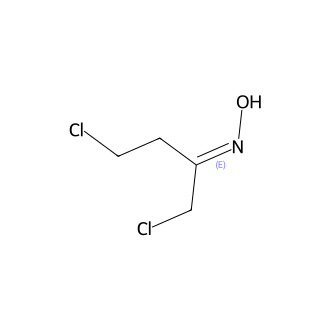 O/N=C(/CCl)CCCl